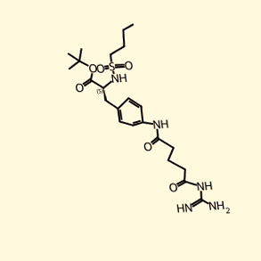 CCCCS(=O)(=O)N[C@@H](Cc1ccc(NC(=O)CCCC(=O)NC(=N)N)cc1)C(=O)OC(C)(C)C